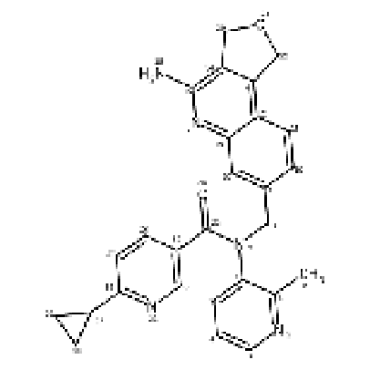 Cc1ncccc1N(Cc1ccc2c3c(c(N)nc2c1)COC3)C(=O)c1ccc(C2CC2)nc1